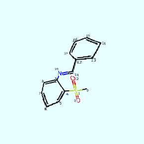 CS(=O)(=O)c1ccccc1N=Cc1ccccc1